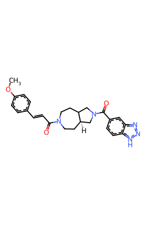 COc1ccc(/C=C/C(=O)N2CCC3CN(C(=O)c4ccc5[nH]nnc5c4)C[C@H]3CC2)cc1